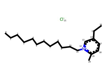 CCCCCCCCCCCC[n+]1cc(CC)ccc1C.[Cl-]